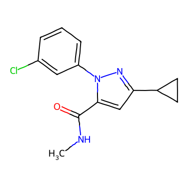 CNC(=O)c1cc(C2CC2)nn1-c1cccc(Cl)c1